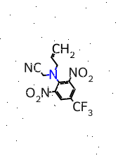 C=CCN(CC#N)c1c([N+](=O)[O-])cc(C(F)(F)F)cc1[N+](=O)[O-]